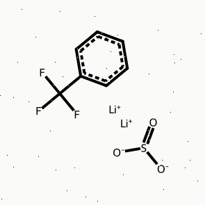 FC(F)(F)c1ccccc1.O=S([O-])[O-].[Li+].[Li+]